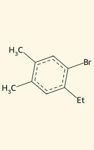 CCc1cc(C)c(C)cc1Br